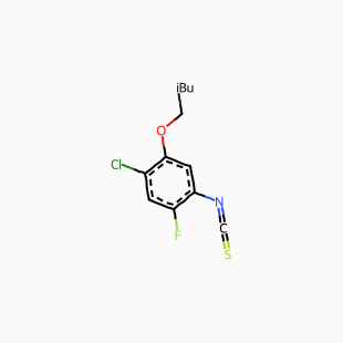 CCC(C)COc1cc(N=C=S)c(F)cc1Cl